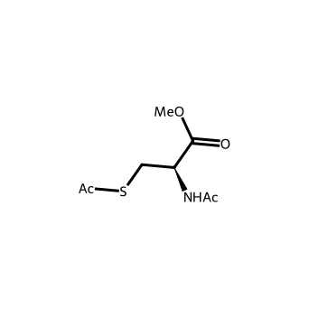 COC(=O)[C@H](CSC(C)=O)NC(C)=O